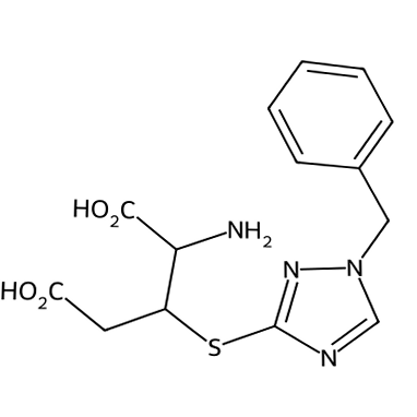 NC(C(=O)O)C(CC(=O)O)Sc1ncn(Cc2ccccc2)n1